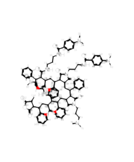 CCC(c1ccccc1)C(C(=O)NCCCNC(=O)c1ccc(N(C)C)cc1)C(CC(c1ccccc1)C1C(=O)N(CCCNC(=O)c2ccc(N(C)C)cc2)C(=O)C1CC(c1ccccc1)C1C(=O)N(CCCN(C)C)C(=O)C1CC(c1ccccc1)C(C(=O)NCCCN(C)C)C(CC(c1ccccc1)C1C(=O)OC(=O)C1C)C(=O)O)C(=O)O